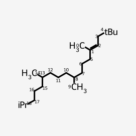 C/C(=C\CC(C)(C)C)CCCC(C)CCCC(C)CCCC(C)C